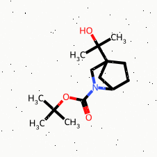 CC(C)(C)OC(=O)N1CC2(C(C)(C)O)CCC1C2